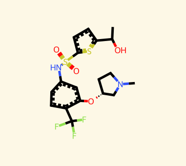 CC(O)c1ccc(S(=O)(=O)Nc2ccc(C(F)(F)F)c(O[C@@H]3CCN(C)C3)c2)s1